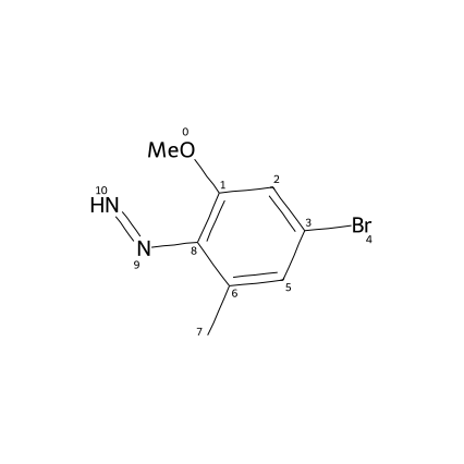 COc1cc(Br)cc(C)c1N=N